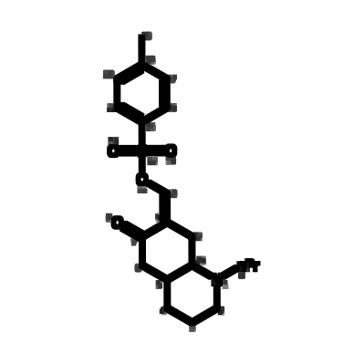 CCCN1CCCC2CC(=O)/C(=C\OS(=O)(=O)c3ccc(C)cc3)CC21